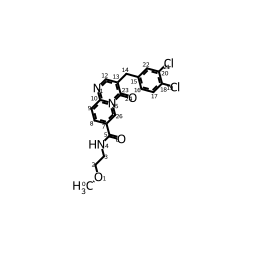 COCCNC(=O)c1ccc2ncc(Cc3ccc(Cl)c(Cl)c3)c(=O)n2c1